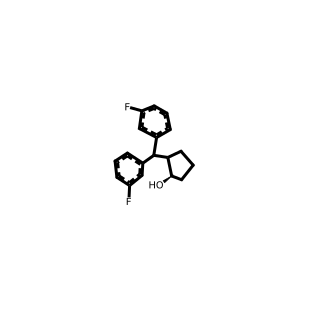 O[C@@H]1CCCC1C(c1cccc(F)c1)c1cccc(F)c1